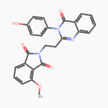 CC(C)Oc1cccc2c1C(=O)N(CCc1nc3ccccc3c(=O)n1-c1ccc(O)cc1)C2=O